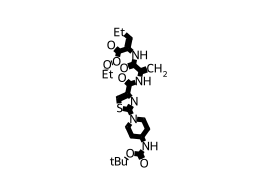 C=C(NC(=O)c1csc(N2CCC(NC(=O)OC(C)(C)C)CC2)n1)C(=O)NC(=CCC)C(=O)OOCC